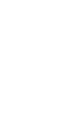 Cn1c(O)nc2nc(Cl)ccc21